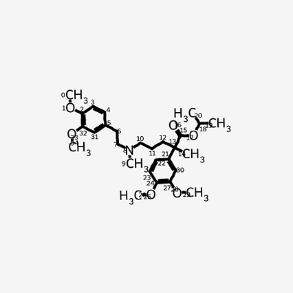 COc1ccc(CCN(C)CCCC(C)(C(=O)OC(C)C)c2ccc(OC)c(OC)c2)cc1OC